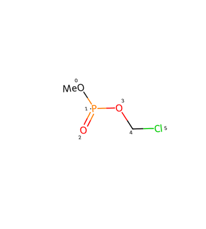 CO[P](=O)OCCl